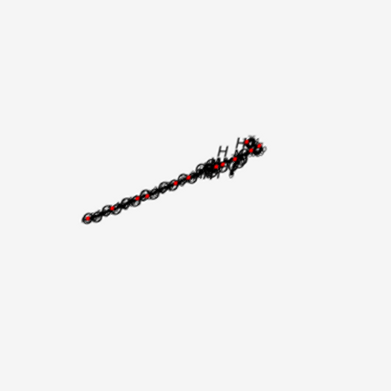 C=CCOC(=O)[C@H](CCCC(=O)N[C@H]1CO[C@H]2[C@@H]1OC[C@@H]2NC(=O)CCOCCOCCOCCOCCOCCOCCOCCOCCOCCOCCOCCOC)NC(=O)OCC1c2ccccc2-c2ccccc21